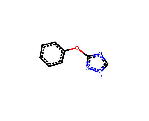 c1ccc(Oc2nc[nH]n2)cc1